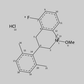 CON(C)CC(Cc1c(F)cccc1F)c1c(C)cccc1C.Cl